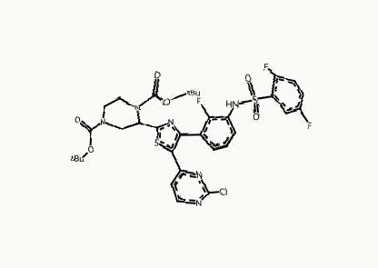 CC(C)(C)OC(=O)N1CCN(C(=O)OC(C)(C)C)C(c2nc(-c3cccc(NS(=O)(=O)c4cc(F)ccc4F)c3F)c(-c3ccnc(Cl)n3)s2)C1